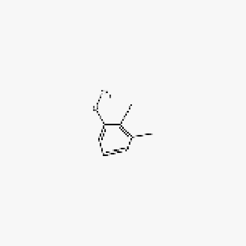 [CH2]c1cccc(OC(F)(F)F)c1C